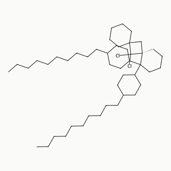 CCCCCCCCCCC1CCC(C2(C3CCC(CCCCCCCCCC)CC3)CCCC[C@]23CC2(CCCCC2)C3(Cl)Cl)CC1